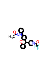 CC(=O)Nc1ccccc1-c1ccc2c(c1)Oc1ccccc1C2C1CCN(C(=O)C(F)(F)F)CC1